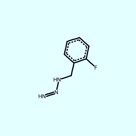 N=NNCc1ccccc1F